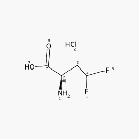 Cl.N[C@H](CC(F)F)C(=O)O